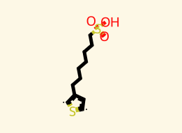 O=S(=O)(O)CCCCCCCc1[c]s[c]c1